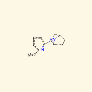 COc1cccc(C2CC3CCC2N3)n1